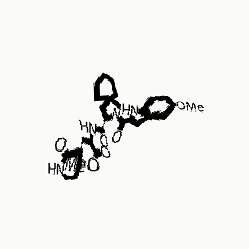 COC(=O)C(C[C@@H]1CCCNC1=O)NC(=O)[C@@H]1CC2(CCCCC2)CN1C(=O)c1cc2cc(OC)ccc2[nH]1